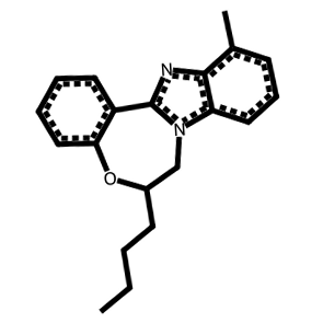 CCCCC1Cn2c(nc3c(C)cccc32)-c2ccccc2O1